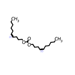 CCCCC/C=C\CCCOC(=O)OCCC/C=C\CCCCC